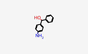 Nc1ccc(C(O)c2ccccc2)cc1